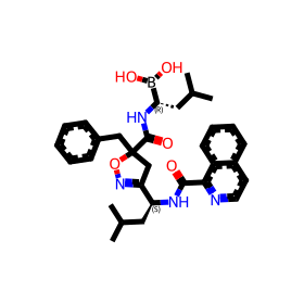 CC(C)C[C@H](NC(=O)C1(Cc2ccccc2)CC([C@H](CC(C)C)NC(=O)c2nccc3ccccc23)=NO1)B(O)O